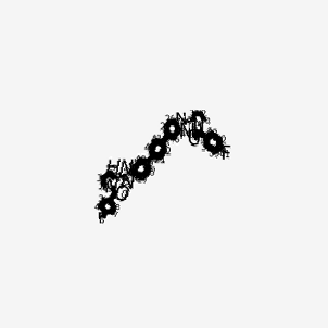 O=C(c1ccc(F)cc1)N1CCC[C@H]1c1nc2ccc(-c3ccc(-c4ccc5nc([C@@H]6CCCN6C(=O)c6ccc(F)cc6)[nH]c5c4)cc3)cc2[nH]1